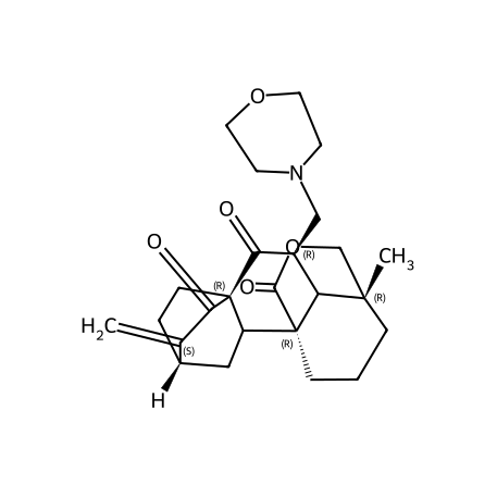 C=C1C(=O)[C@]23CC[C@H]1CC2[C@@]12CCC[C@@](C)(COC1=O)C2[C@H](CN1CCOCC1)C3=O